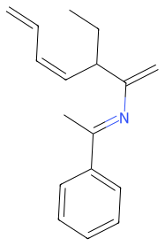 C=C/C=C\C(CC)C(=C)/N=C(\C)c1ccccc1